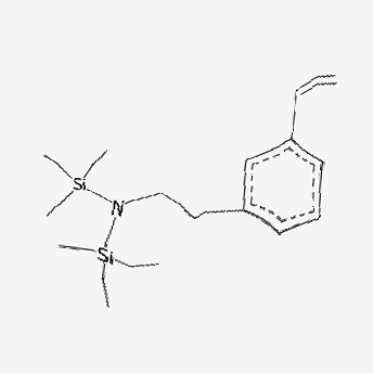 C=Cc1cccc(CCN([Si](C)(C)C)[Si](C)(C)C)c1